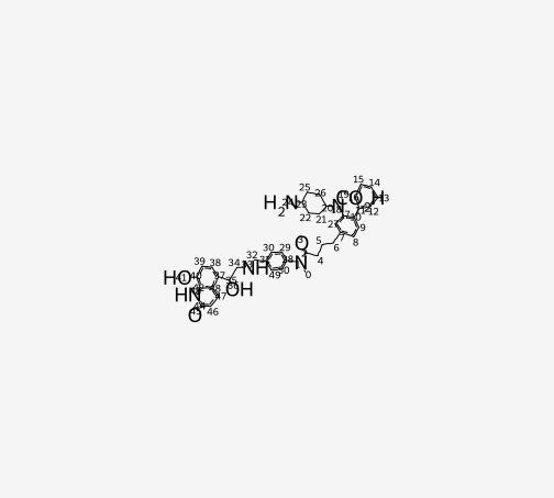 CN(C(=O)CCCc1ccc(-c2ccccc2)c(N(C(=O)O)C2CCC(N)CC2)c1)c1ccc(CNC[C@H](O)c2ccc(O)c3[nH]c(=O)ccc23)cc1